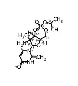 C=C1NC(=O)C=CN1[C@@H]1O[C@@H]2CO[P@](=O)(OC(C)C)O[C@H]2[C@@]1(C)N